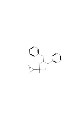 NC(CC(Cc1ccccc1)Cc1ccccc1)(C(=O)O)C1CC1C(=O)O